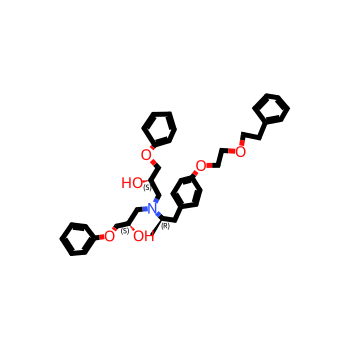 C[C@H](Cc1ccc(OCCOCCc2ccccc2)cc1)N(C[C@H](O)COc1ccccc1)C[C@H](O)COc1ccccc1